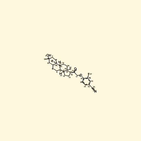 C[C@@]1(O)CC[C@@]2(F)C(CCC3[C@@H]4CC[C@H](C(=O)COc5ccc(C#N)cc5F)[C@@]4(C)CC[C@@H]32)C1